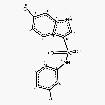 Cc1ccnc(NS(=O)(=O)c2c[nH]c3cc(Cl)ccc23)c1